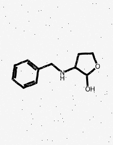 OC1OCCC1NCc1ccccc1